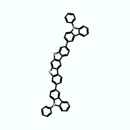 c1ccc(-n2c3ccccc3c3cc(-c4ccc5c(c4)sc4cc6sc7cc(-c8ccc9c(c8)c8ccccc8n9-c8ccccc8)ccc7c6cc45)ccc32)cc1